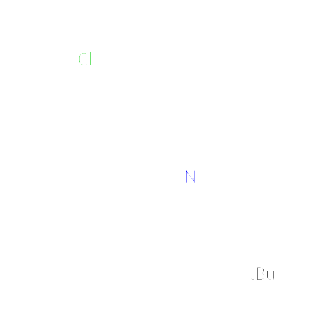 CC(C)(C)Cc1ccc2ccc(Cl)cc2n1